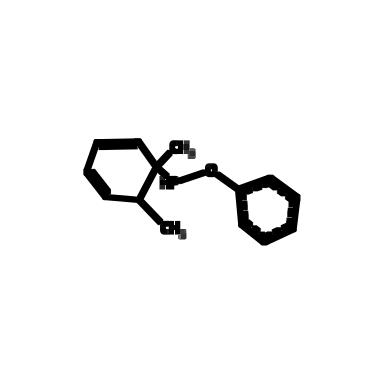 CC1C=CC=CC1(C)POc1ccccc1